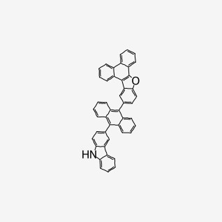 c1ccc2c(c1)[nH]c1ccc(-c3c4ccccc4c(-c4ccc5oc6c7ccccc7c7ccccc7c6c5c4)c4ccccc34)cc12